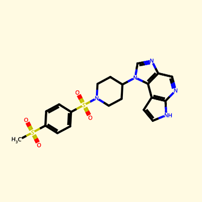 CS(=O)(=O)c1ccc(S(=O)(=O)N2CCC(n3cnc4cnc5[nH]ccc5c43)CC2)cc1